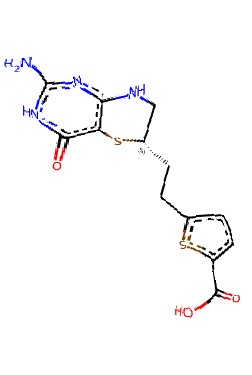 Nc1nc2c(c(=O)[nH]1)S[C@@H](CCc1ccc(C(=O)O)s1)CN2